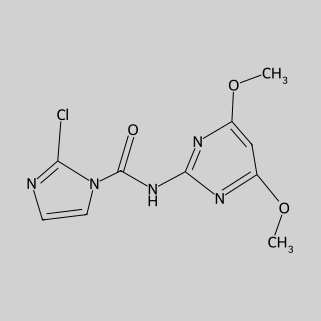 COc1cc(OC)nc(NC(=O)n2ccnc2Cl)n1